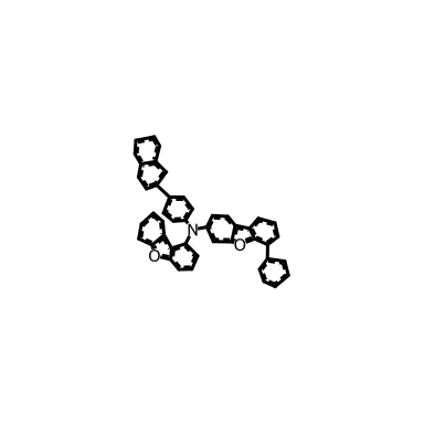 c1ccc(-c2cccc3c2oc2cc(N(c4ccc(-c5ccc6ccccc6c5)cc4)c4cccc5oc6ccccc6c45)ccc23)cc1